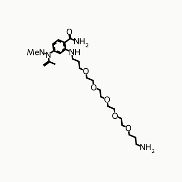 C=C(C)N(NC)c1ccc(C(N)=O)c(NCCCOCCOCCOCCOCCOCCCN)c1